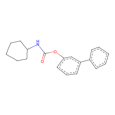 O=C(NC1CCCCC1)Oc1cccc(-c2ccccc2)c1